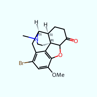 COc1cc(Br)c2c3c1OC1C(=O)CC[C@@H]4[C@H](C2)N(C)CC[C@@]314